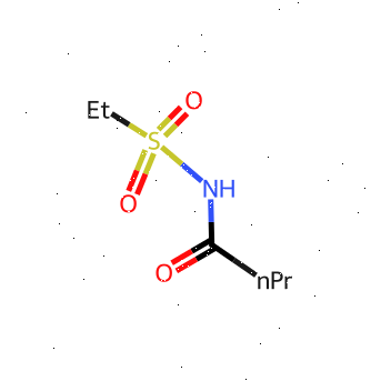 CCCC(=O)NS(=O)(=O)CC